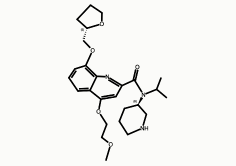 COCCOc1cc(C(=O)N(C(C)C)[C@@H]2CCCNC2)nc2c(OC[C@@H]3CCCO3)cccc12